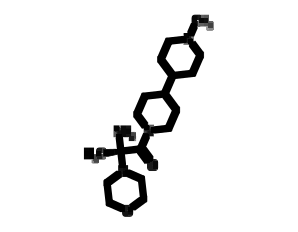 CN1CCC(C2CCN(C(=O)[C@@](C)(N)N3CCOCC3)CC2)CC1